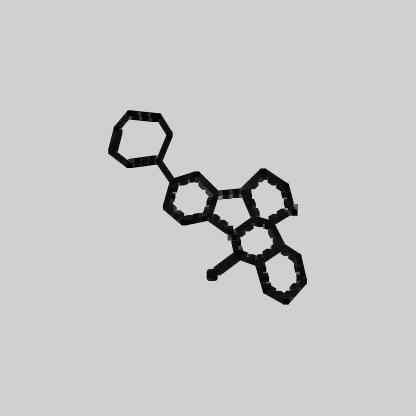 O=c1c2ccccc2c2nccc3c4cc(C5=CC=CC=CC5)ccc4n1c32